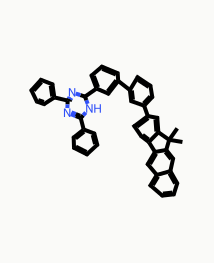 CC1(C)c2cc(-c3cccc(-c4cccc(C5N=C(c6ccccc6)N=C(c6ccccc6)N5)c4)c3)ccc2-c2cc3ccccc3cc21